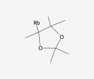 CC1(C)OC(C)(C)[C](C)([Rb])O1